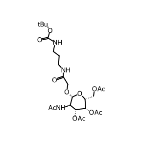 CC(=O)N[C@H]1[C@H](OCC(=O)NCCCNC(=O)OC(C)(C)C)O[C@H](COC(C)=O)[C@H](OC(C)=O)[C@@H]1OC(C)=O